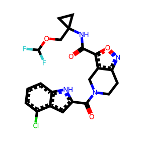 O=C(NC1(COC(F)F)CC1)c1onc2c1CN(C(=O)c1cc3c(Cl)cccc3[nH]1)CC2